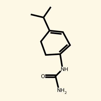 CC(C)C1=CC=C(NC(N)=O)CC1